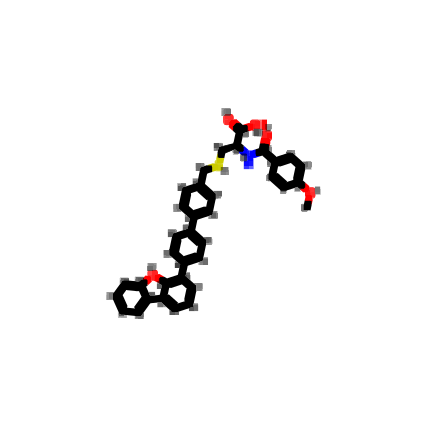 COc1ccc(C(=O)N[C@@H](CSCc2ccc(-c3ccc(-c4cccc5c4oc4ccccc45)cc3)cc2)C(=O)O)cc1